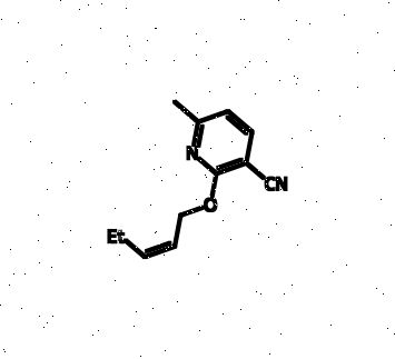 CC/C=C\COc1nc(C)ccc1C#N